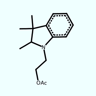 CC(=O)OCCN1c2ccccc2C(C)(C)C1C